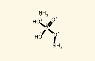 N.O=P(O)(O)O[SiH3]